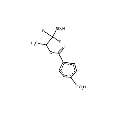 CC(OC(=O)c1ccc(C(=O)O)cc1)C(F)(F)S(=O)(=O)O